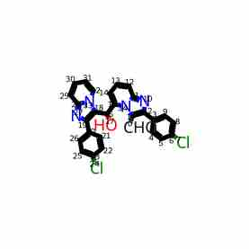 O=Cc1c(-c2ccc(Cl)cc2)nc2cccc(C(O)c3c(-c4ccc(Cl)cc4)nc4ccccn34)n12